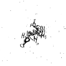 CC(NC(=O)C(O)c1cc(F)cc(F)c1)C(=O)Nc1cc(C(C)(C)c2ccc(Cl)cc2)n[nH]1